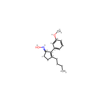 CCCCC1=C(c2cccc(OC)c2)/C(=N/O)CC1